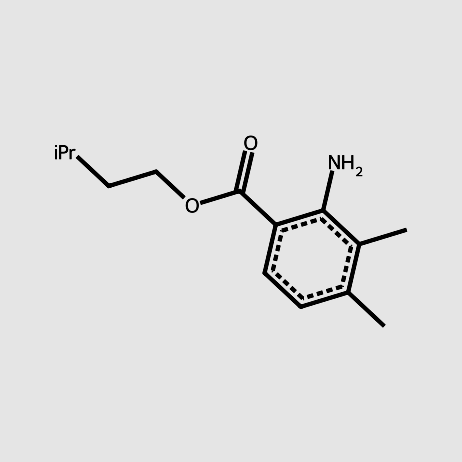 Cc1ccc(C(=O)OCCC(C)C)c(N)c1C